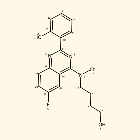 CCN(CCCCO)c1nc(-c2ccccc2O)nc2ccc(F)cc12